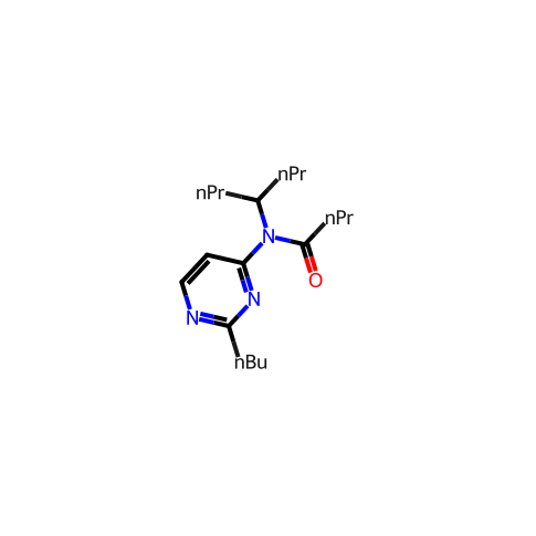 CCCCc1nccc(N(C(=O)CCC)C(CCC)CCC)n1